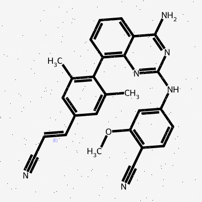 COc1cc(Nc2nc(N)c3cccc(-c4c(C)cc(/C=C/C#N)cc4C)c3n2)ccc1C#N